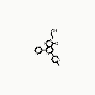 Cc1ccc(-c2cc3c(=O)n(CCO)cnc3c(-c3cccnc3)n2)cn1